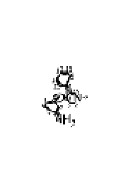 CN1CC[C@H](Oc2cccc(N)c2)[C@@H](c2ccccc2)C1